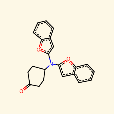 O=C1CCC(N(c2cc3ccccc3o2)c2cc3ccccc3o2)CC1